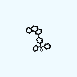 O=P(c1ccccc1)(c1ccccc1)c1ccc(-c2ccc3ccc4ccccc4c3c2)cc1